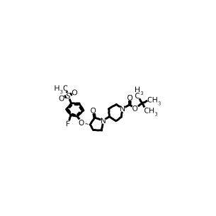 CC(C)(C)OC(=O)N1CCC(N2CC[C@H](Oc3ccc(S(C)(=O)=O)cc3F)C2=O)CC1